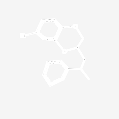 CCc1ccc2c(c1)OC(CC(C)c1ccccc1)CO2